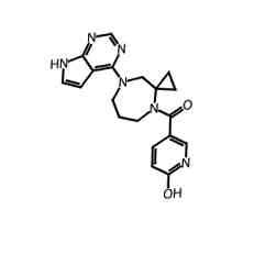 O=C(c1ccc(O)nc1)N1CCCN(c2ncnc3[nH]ccc23)CC12CC2